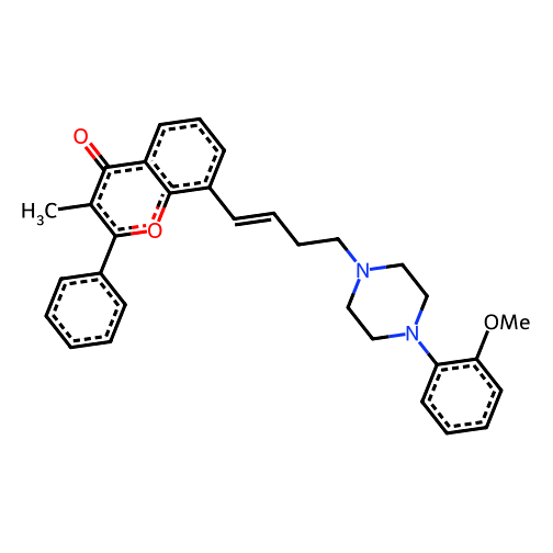 COc1ccccc1N1CCN(CCC=Cc2cccc3c(=O)c(C)c(-c4ccccc4)oc23)CC1